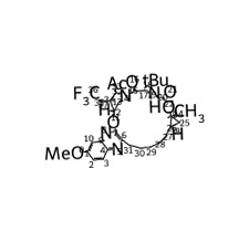 COc1ccc2nc3c(nc2c1)O[C@H]1CN(C(=O)[C@H](C(C)(C)C)NC(=O)O[C@]2(C)C[C@H]2CCCCC3)[C@H](C(C)=O)[C@@H]1CC(F)(F)F